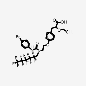 CCOC(Cc1ccc(OCCN(CC(F)(F)C(F)(F)C(F)(F)C(F)(F)C(F)(F)F)C(=O)Nc2ccc(Br)cc2)cc1)C(=O)O